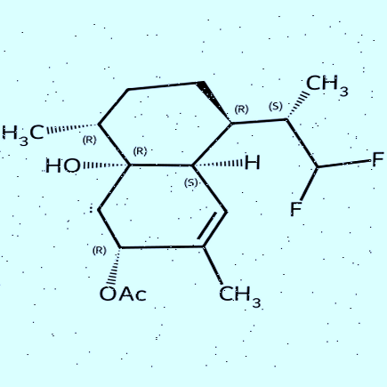 CC(=O)O[C@@H]1[C][C@@]2(O)[C@H](C)CC[C@@H]([C@H](C)C(F)F)[C@H]2C=C1C